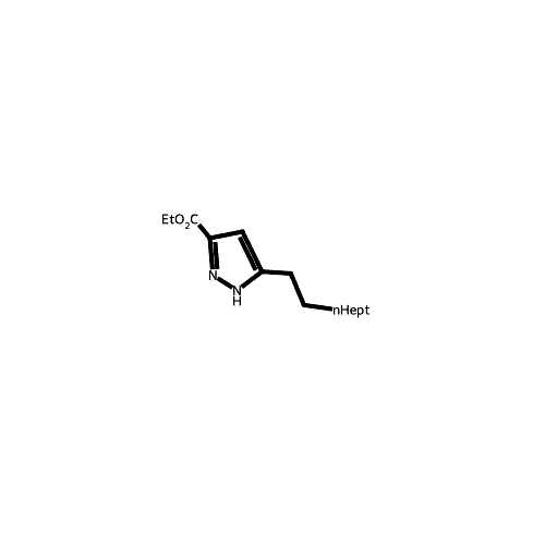 CCCCCCCCCc1cc(C(=O)OCC)n[nH]1